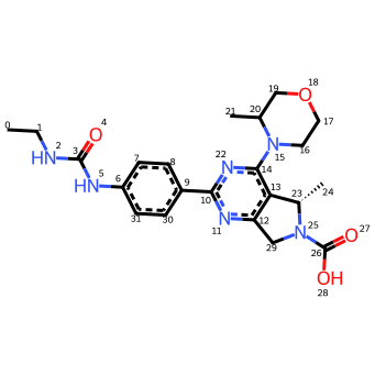 CCNC(=O)Nc1ccc(-c2nc3c(c(N4CCOCC4C)n2)[C@H](C)N(C(=O)O)C3)cc1